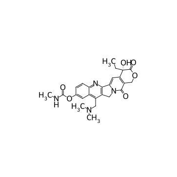 CC[C@@]1(O)C(=O)OCc2c1cc1n(c2=O)Cc2c-1nc1ccc(OC(=O)NC)cc1c2CN(C)C